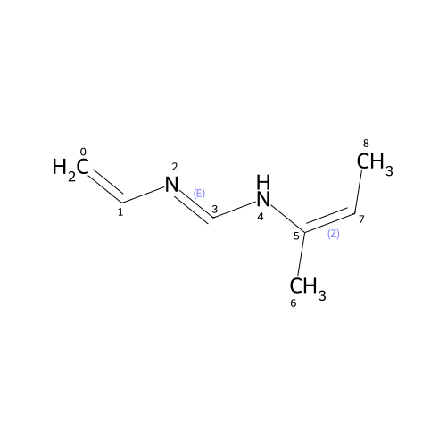 C=C/N=C/N/C(C)=C\C